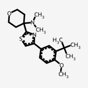 COc1ccc(-c2csc(C3(N(C)C)CCOCC3)n2)cc1C(C)(C)C